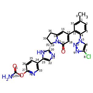 Cc1ccc(-n2cc(Cl)nn2)c(-c2cc3n(c(=O)c2)[C@H](c2ncc(-c4ccc(OC(N)=O)nc4)[nH]2)CC3)c1